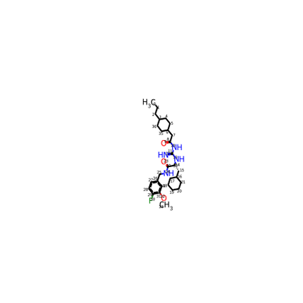 CCCC1CCC(CC(=O)NC(=N)N[C@H](CC2CCCCC2)C(=O)NCc2ccc(F)c(OC)c2)CC1